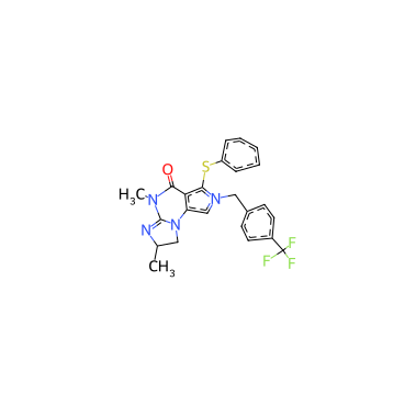 CC1CN2C(=N1)N(C)C(=O)c1c2cn(Cc2ccc(C(F)(F)F)cc2)c1Sc1ccccc1